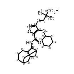 CCC(CC)(COc1noc(C(=O)NC2C3CC4CCCC2C(C4)C3)c1SC1CCCCC1)C(=O)O